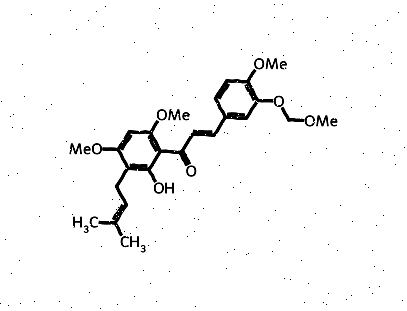 COCOc1cc(C=CC(=O)c2c(OC)cc(OC)c(CC=C(C)C)c2O)ccc1OC